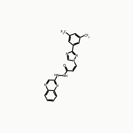 O=C(/C=C\n1cnc(-c2cc(C(F)(F)F)cc(C(F)(F)F)c2)n1)NNc1cnc2ccccc2n1